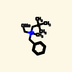 COC[N+](C)(Cc1ccccc1)C[Si](C)(C)C